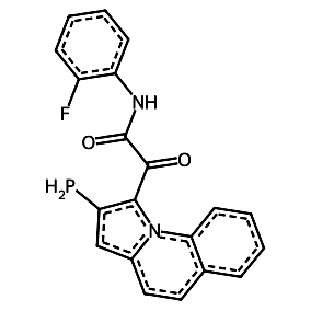 O=C(Nc1ccccc1F)C(=O)c1c(P)cc2ccc3ccccc3n12